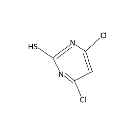 Sc1nc(Cl)cc(Cl)n1